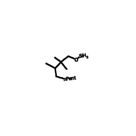 CCCCCCC(C)C(C)(C)CO[SiH3]